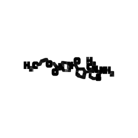 C=C/C=C\OCC(=O)N1CCN(C(=O)c2cccc(C3(C)CCSC(N)=N3)c2)CC1